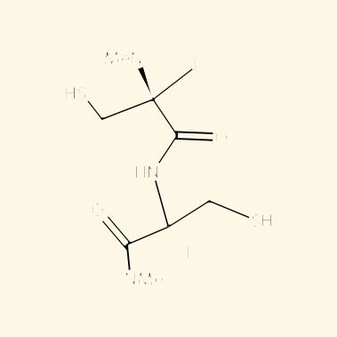 CNC(=O)[C@](F)(CS)NC(=O)[C@@](F)(CS)NC